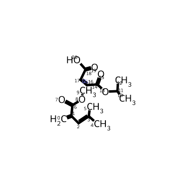 C=C(C=C(C)C)C(=O)OC.CC(C)OC(=O)/C=C\C(=O)O